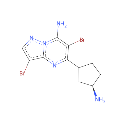 Nc1c(Br)c(C2CC[C@@H](N)C2)nc2c(Br)cnn12